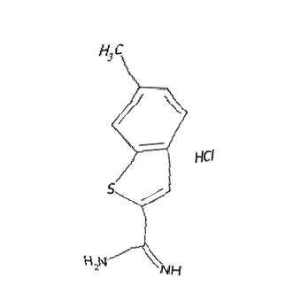 Cc1ccc2cc(C(=N)N)sc2c1.Cl